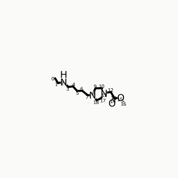 CCNCCCCCN1CCN(CC(=O)OC)CC1